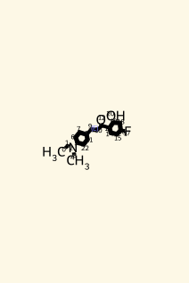 CCN(CC)c1ccc(/C=C/C(=O)c2ccc(F)cc2O)cc1